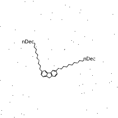 CCCCCCCCCCCCCCCCCCCCc1ccc2c(c1)-c1cc(CCCCCCCCCCCCCCCCCCCC)ccc1C2